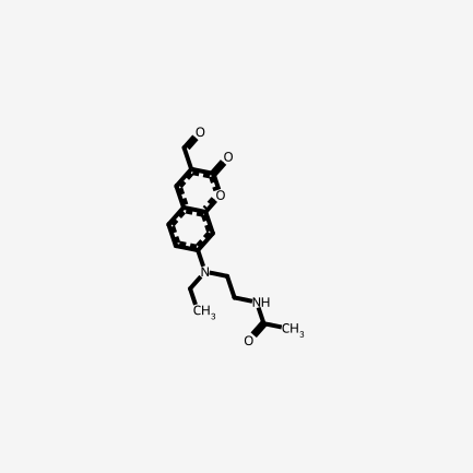 CCN(CCNC(C)=O)c1ccc2cc(C=O)c(=O)oc2c1